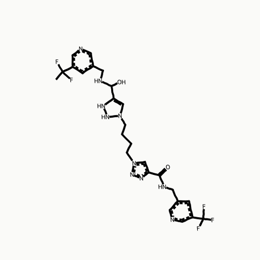 CC(F)(F)c1cncc(CNC(O)C2=CN(CCCCn3cc(C(=O)NCc4cncc(C(F)(F)F)c4)nn3)NN2)c1